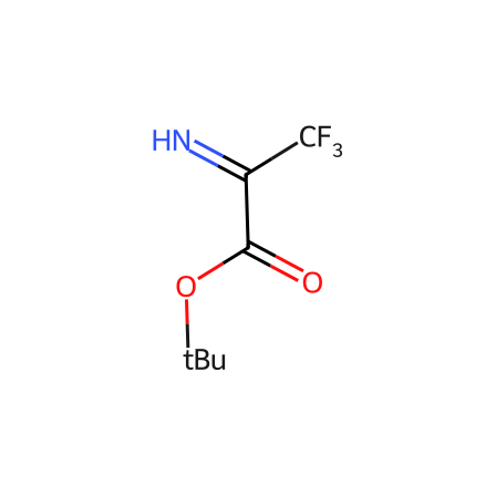 CC(C)(C)OC(=O)C(=N)C(F)(F)F